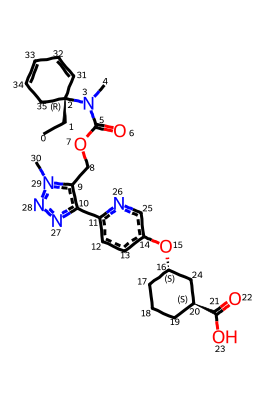 CC[C@]1(N(C)C(=O)OCc2c(-c3ccc(O[C@H]4CCC[C@H](C(=O)O)C4)cn3)nnn2C)C=CC=CC1